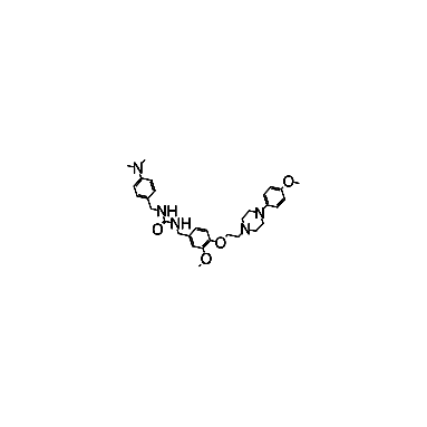 COc1ccc(N2CCN(CCOc3ccc(CNC(=O)NCc4ccc(N(C)C)cc4)cc3OC)CC2)cc1